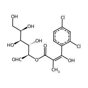 CC(C(=O)O[C@@H](C=O)[C@@H](O)[C@@H](O)[C@H](O)CO)=C(O)c1ccc(Cl)cc1Cl